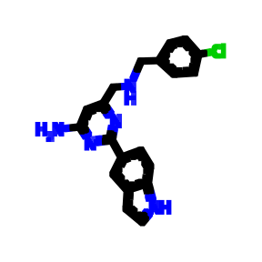 Nc1cc(CNCc2ccc(Cl)cc2)nc(-c2ccc3[nH]ccc3c2)n1